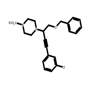 CCOC(=O)N1CCN(C(C#Cc2cccc(Cl)c2)COCc2ccccc2)CC1